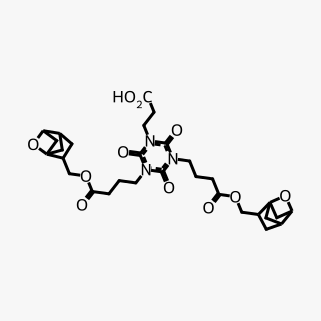 O=C(O)CCn1c(=O)n(CCCC(=O)OCC2CC3CC24CC3O4)c(=O)n(CCCC(=O)OCC2CC3CC24CC3O4)c1=O